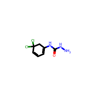 NNC(=O)NC1=CC=CC(Cl)(Cl)C1